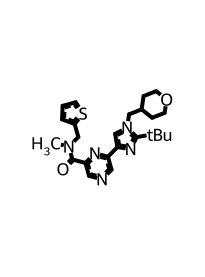 CN(Cc1cccs1)C(=O)c1cncc(-c2cn(CC3CCOCC3)c(C(C)(C)C)n2)n1